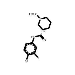 CCOC(=O)N1CCC[C@H](C(=O)Nc2ccc(Cl)c(F)c2)C1